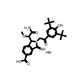 Br.COC(C(N)=O)C1c2ccc(C(=O)O)cc2C(=N)N1CC(=O)c1cc(C(C)(C)C)c(O)c(C(C)(C)C)c1